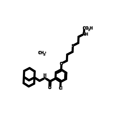 O=C(O)NCCSCCCOc1ccc(Cl)c(C(=O)NCC23CCCC(CCC2)C3)c1.[CH2]